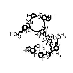 C=Cc1c(Oc2ccc(F)c(-c3nc(C(C)(CCCC(C)(C)CS(=O)(=O)CC(=O)OC)c4cccc(CCC(=O)OC)c4)cs3)c2)c(F)cc2[nH]ccc12.CC1(C)CCCC(C)(c2cccc(CCC(=O)O)c2)c2csc(n2)-c2cc(ccc2F)Oc2c(F)cc3[nH]ccc3c2CCS(=O)(=O)C1